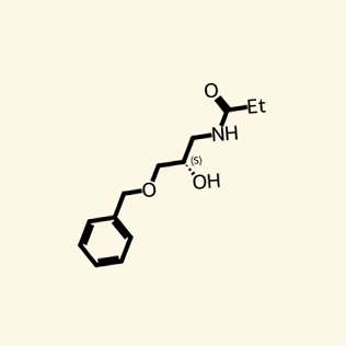 CCC(=O)NC[C@H](O)COCc1ccccc1